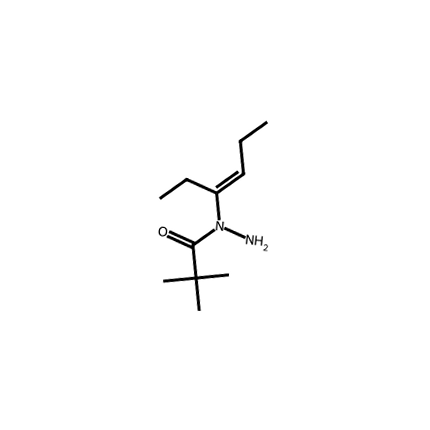 CC/C=C(\CC)N(N)C(=O)C(C)(C)C